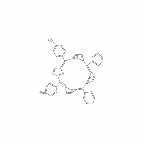 Oc1ccc(-c2c3nc(c(-c4ccccc4)c4ccc([nH]4)c(-c4ccccc4)c4nc(c(-c5ccccc5)c5ccc2[nH]5)C=C4)C=C3)cc1.[MgH2]